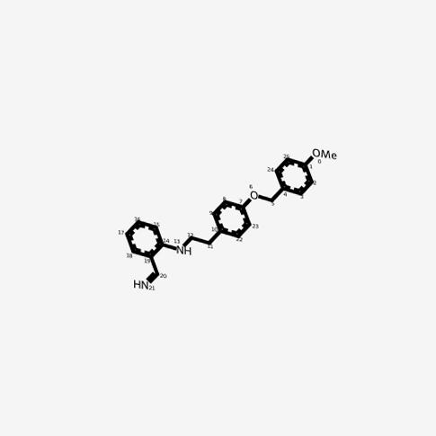 COc1ccc(COc2ccc(CCNc3ccccc3C=N)cc2)cc1